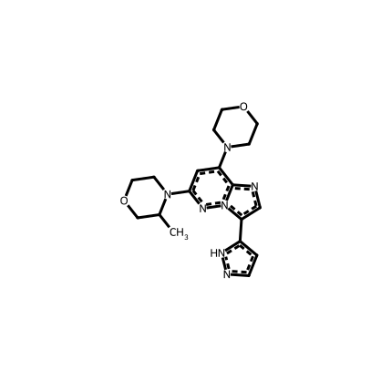 CC1COCCN1c1cc(N2CCOCC2)c2ncc(-c3ccn[nH]3)n2n1